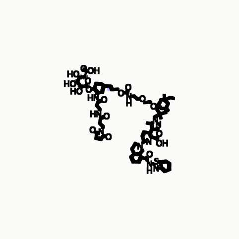 CCC1(C)CC2(C)CC(C)(Cn3ncc(-c4ccc(N5CCc6cccc(C(=O)Nc7nc8ccccc8s7)c6C5)nc4C(=O)O)c3C)CC(OCCOCCNC(=O)OC/C=C/c3ccc(O[C@@H]4O[C@H](C(=O)O)[C@@H](O)[C@H](O)[C@H]4O)c(NC(=O)CCNC(=O)CCN4C(=O)C=CC4=O)c3)(C1)C2